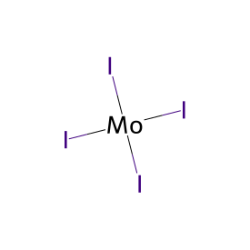 [I][Mo]([I])([I])[I]